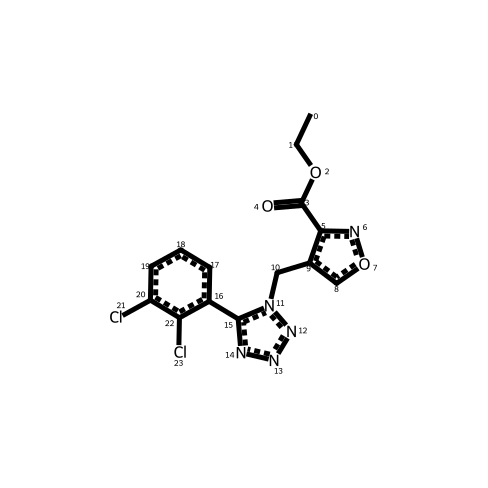 CCOC(=O)c1nocc1Cn1nnnc1-c1cccc(Cl)c1Cl